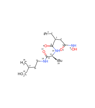 CC(C)CC(CC(=O)NO)C(=O)N[C@H](C(=O)NCCC(C)C(=O)O)C(C)(C)C